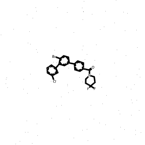 O=C(c1ccc(-c2ccc(Br)c(-c3cccc(Cl)c3)c2)cc1)N1CCC(F)(F)CC1